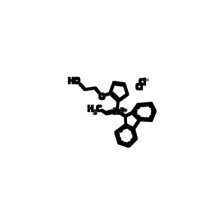 C[CH]=[Zr+2]([C]1=C(OCCO)C=CC1)[CH]1c2ccccc2-c2ccccc21.[Cl-].[Cl-]